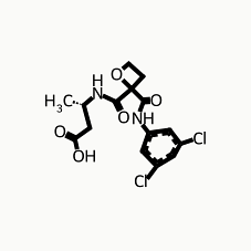 C[C@@H](CC(=O)O)NC(=O)C1(C(=O)Nc2cc(Cl)cc(Cl)c2)CCO1